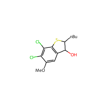 CCCCC1Sc2c(cc(OC)c(Cl)c2Cl)C1O